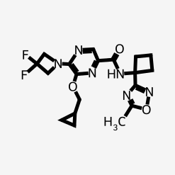 Cc1nc(C2(NC(=O)c3cnc(N4CC(F)(F)C4)c(OCC4CC4)n3)CCC2)no1